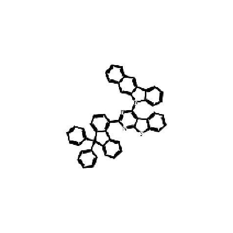 c1ccc(C2(c3ccccc3)c3ccccc3-c3c(-c4nc(-n5c6ccccc6c6cc7ccccc7cc65)c5c(n4)sc4ccccc45)cccc32)cc1